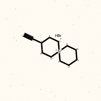 Br.C#CC1CC[N+]2(CCCCC2)CC1